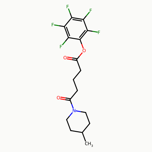 CC1CCN(C(=O)CCCC(=O)Oc2c(F)c(F)c(F)c(F)c2F)CC1